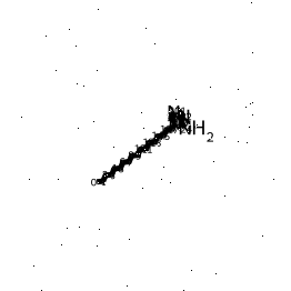 CCCCCCCCCCCCCCCCCCN1C=NC=NC1N